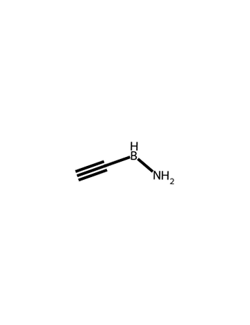 C#CBN